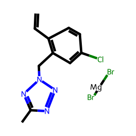 C=Cc1ccc(Cl)cc1Cn1nnc(C)n1.[Br][Mg][Br]